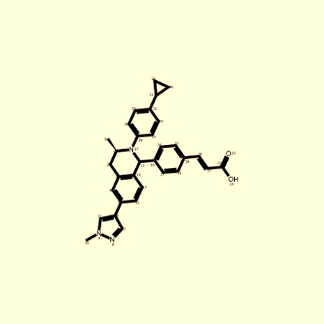 C[C@@H]1Cc2cc(-c3cnn(C)c3)ccc2C(c2ccc(/C=C/C(=O)O)cc2)N1c1ccc(C2CC2)cc1